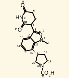 Cn1nc(C2CCC(=O)NC2=O)c2cccc([C@@H]3CCN(C(=O)O)C3)c21